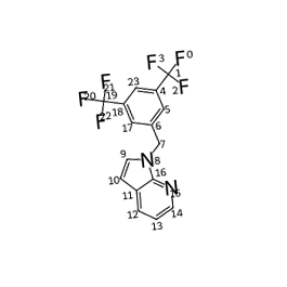 FC(F)(F)c1cc(Cn2ccc3cccnc32)cc(C(F)(F)F)c1